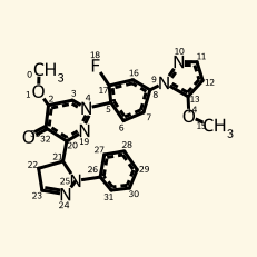 COc1cn(-c2ccc(-n3nccc3OC)cc2F)nc(C2CC=NN2c2ccccc2)c1=O